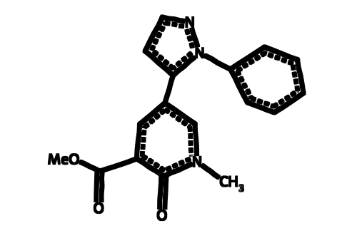 COC(=O)c1cc(-c2ccnn2-c2ccccc2)cn(C)c1=O